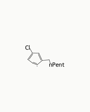 CCCCCCc1[c]ccc(Cl)c1